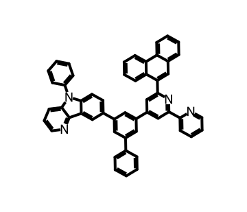 c1ccc(-c2cc(-c3cc(-c4ccccn4)nc(-c4cc5ccccc5c5ccccc45)c3)cc(-c3ccc4c(c3)c3ncccc3n4-c3ccccc3)c2)cc1